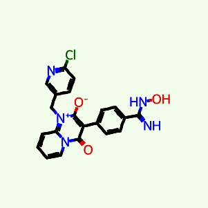 N=C(NO)c1ccc(-c2c([O-])[n+](Cc3ccc(Cl)nc3)c3ccccn3c2=O)cc1